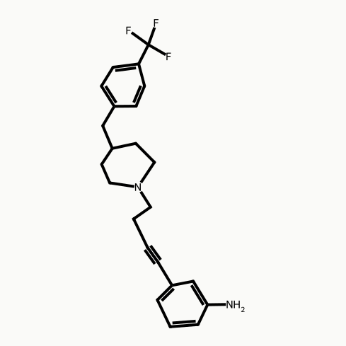 Nc1cccc(C#CCCN2CCC(Cc3ccc(C(F)(F)F)cc3)CC2)c1